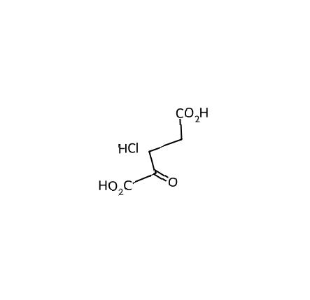 Cl.O=C(O)CCC(=O)C(=O)O